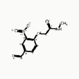 CNC(=O)COc1ccc(C=O)cc1[N+](=O)[O-]